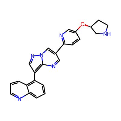 c1cc(-c2cnn3cc(-c4ccc(O[C@H]5CCNC5)cn4)cnc23)c2cccnc2c1